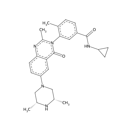 Cc1ccc(C(=O)NC2CC2)cc1-n1c(C)nc2ccc(N3C[C@@H](C)N[C@@H](C)C3)cc2c1=O